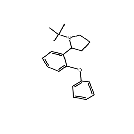 CC(C)(C)N1CCCC1c1ccccc1Oc1ccccc1